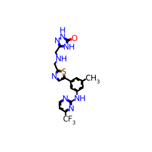 Cc1cc(Nc2nccc(C(F)(F)F)n2)cc(-c2cnc(CNCc3n[nH]c(=O)[nH]3)s2)c1